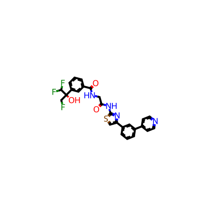 O=C(CNC(=O)c1cccc(C(O)(CF)C(F)F)c1)Nc1nc(-c2cccc(-c3ccncc3)c2)cs1